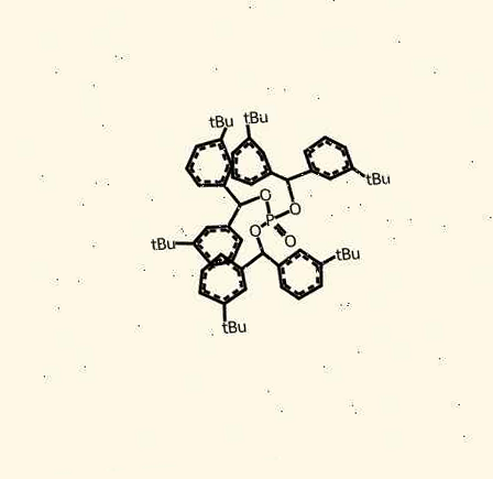 CC(C)(C)c1cccc(C(OP(=O)(OC(c2cccc(C(C)(C)C)c2)c2cccc(C(C)(C)C)c2)OC(c2cccc(C(C)(C)C)c2)c2cccc(C(C)(C)C)c2)c2cccc(C(C)(C)C)c2)c1